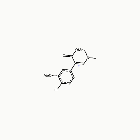 COC(=O)/C(=C\N(C)C)c1ccc(Cl)c(OC)c1